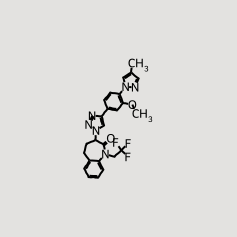 COc1cc(-c2cn(C3CCc4ccccc4N(CC(F)(F)F)C3=O)nn2)ccc1-n1cc(C)cn1